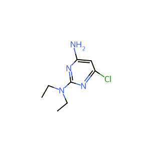 CCN(CC)c1nc(N)cc(Cl)n1